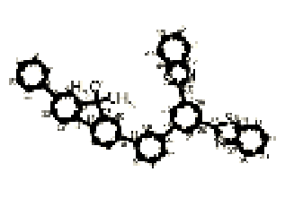 CC1(C)c2cc(-c3ccccc3)ccc2-c2ccc(-c3cccc(-c4cc(-c5nc6ccccc6s5)cc(-c5nc6ccccc6s5)c4)c3)cc21